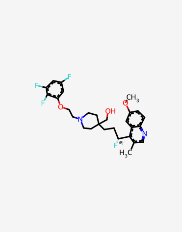 COc1ccc2ncc(C)c([C@H](F)CCC3(CO)CCN(CCOc4cc(F)cc(F)c4F)CC3)c2c1